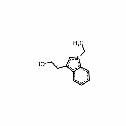 CCn1cc(CCO)c2ccccc21